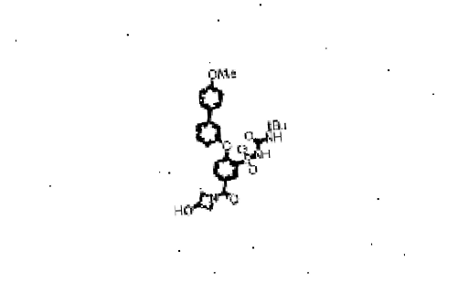 COc1ccc(-c2cccc(Oc3ccc(C(=O)N4CC(O)C4)cc3S(=O)(=O)NC(=O)NC(C)(C)C)c2)cc1